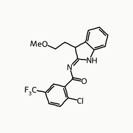 COCCC1C(=NC(=O)c2cc(C(F)(F)F)ccc2Cl)Nc2ccccc21